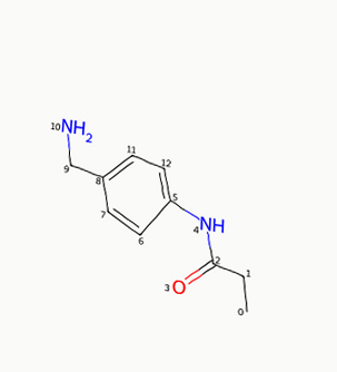 CCC(=O)Nc1ccc(CN)cc1